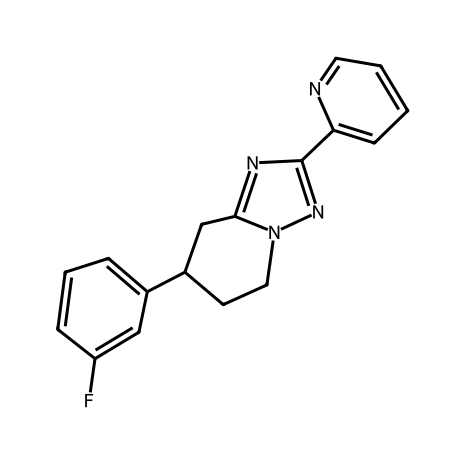 Fc1cccc(C2CCn3nc(-c4ccccn4)nc3C2)c1